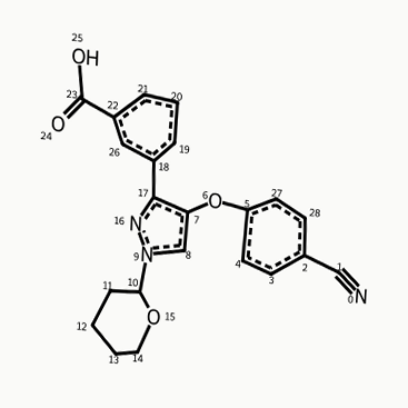 N#Cc1ccc(Oc2cn(C3CCCCO3)nc2-c2cccc(C(=O)O)c2)cc1